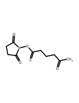 CC(=O)CCCC(=S)ON1C(=O)CCC1=O